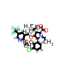 CCN1[C@H](C(=O)O)[C@@H](C(C)(C)C)[C@H](OCc2cc(C(F)(F)F)cnc2OC)[C@@H]1c1cccc(Cl)c1C